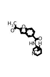 CC(=O)c1cc2cc(C(=O)N[C@H]3CN4CCC3CC4)ccc2o1